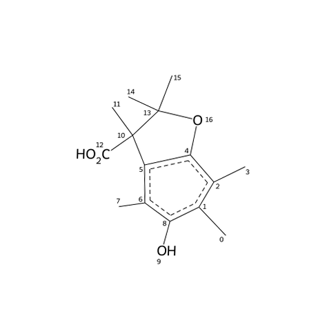 Cc1c(C)c2c(c(C)c1O)C(C)(C(=O)O)C(C)(C)O2